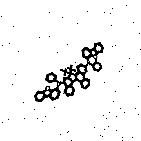 Cc1ccccc1N(c1ccc2c3c(c4ccccc4c2c1)-c1c(cc(N(c2ccccc2)c2cccc4c2oc2ccccc24)c2ccccc12)C3(C(C)(C)C)C(C)(C)C)c1cccc2c1oc1ccccc12